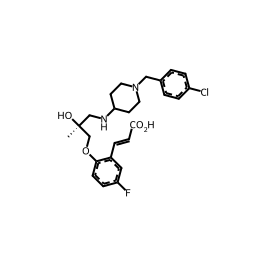 C[C@](O)(CNC1CCN(Cc2ccc(Cl)cc2)CC1)COc1ccc(F)cc1C=CC(=O)O